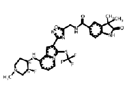 CN1CC[C@@H](Nc2cccn3c(SC(F)(F)F)c(-c4noc(CNC(=O)c5ccc6c(c5)C(C)(C)C(=O)N6)n4)cc23)[C@@H](F)C1